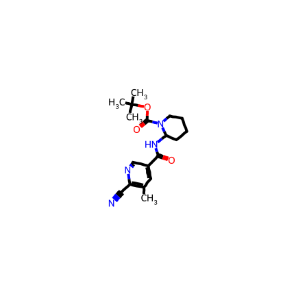 Cc1cc(C(=O)NC2CCCCN2C(=O)OC(C)(C)C)cnc1C#N